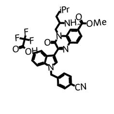 COC(=O)c1ccc2nc(-c3cn(Cc4ccc(C#N)cc4)c4ccccc34)c(=O)n(CC(N)CC(C)C)c2c1.O=C(O)C(F)(F)F